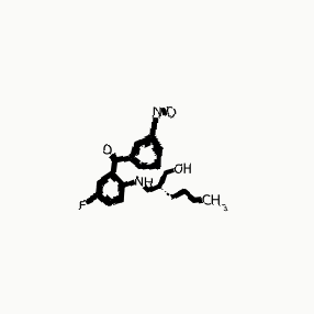 CCCC[C@@H](CO)CNc1ccc(F)cc1C(=O)c1cccc(N=O)c1